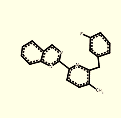 Cc1ccc(-c2ncc3ccccc3n2)nc1Cc1cccc(F)c1